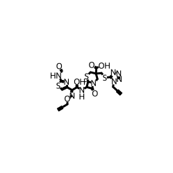 C#CCON=C(C(=O)NC1C(=O)N2CC(CSc3nnnn3CC#C)(C(=O)O)CS[C@H]12)c1csc(NC=O)n1